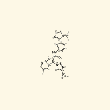 Cc1ccc2oc(C(=O)Nc3cccc(-c4nncn4C(C)C)n3)c(-n3cnc(C4CC4)c3)c2c1